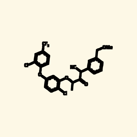 COCc1cccc(C(C#N)C(=O)C(C)Oc2cc(Oc3ccc(C(F)(F)F)cc3Cl)ccc2Cl)c1